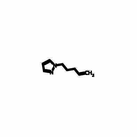 C=CCCCn1cccn1